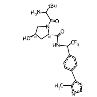 Cc1ncsc1-c1ccc(C(NC(=O)[C@@H]2C[C@@H](O)CN2C(=O)C(N)C(C)(C)C)C(F)(F)F)cc1